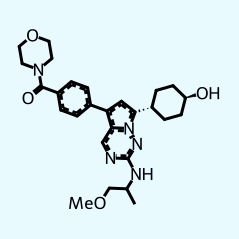 COCC(C)Nc1ncc2c(-c3ccc(C(=O)N4CCOCC4)cc3)cc([C@H]3CC[C@H](O)CC3)n2n1